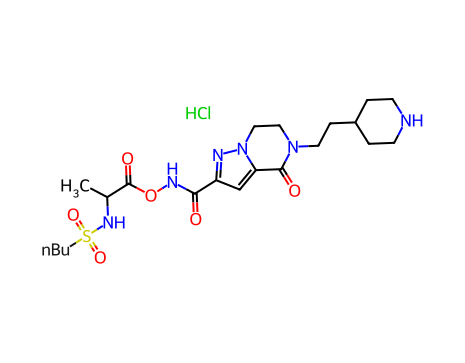 CCCCS(=O)(=O)NC(C)C(=O)ONC(=O)c1cc2n(n1)CCN(CCC1CCNCC1)C2=O.Cl